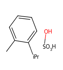 Cc1ccccc1C(C)C.O=S(=O)(O)O